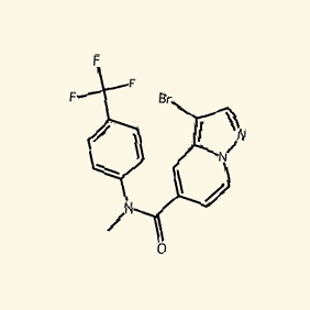 CN(C(=O)c1ccn2ncc(Br)c2c1)c1ccc(C(F)(F)F)cc1